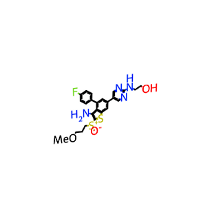 COCCC[S+]([O-])c1sc2cc(-c3cnc(NCCO)nc3)cc(-c3ccc(F)cc3)c2c1N